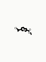 CCOC(=O)c1cc2ccc(C3CC3Cl)cn2c1